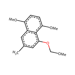 COCOc1cc(C)cc2c(OC)ccc(OC)c12